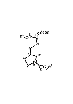 CCCCCCCCCN(CCCCCCCCC)CCC1CCN(C(=O)O)C1